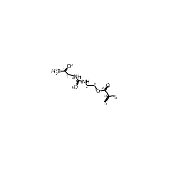 BC(=O)CNC(=O)NCCOC(=O)C(=C)C